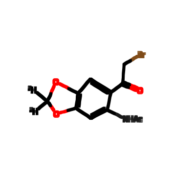 [2H]C1([2H])Oc2cc(NC(C)=O)c(C(=O)CBr)cc2O1